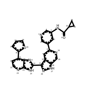 O=C(Nc1cncc(-c2cc3c(-c4nc5c(-c6cccs6)ccnc5[nH]4)n[nH]c3cn2)c1)C1CC1